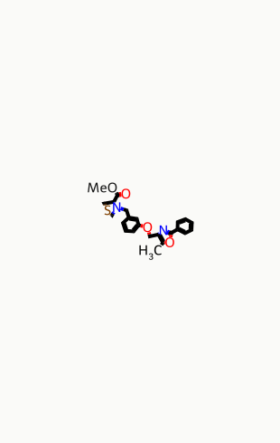 COC(=O)C1CSCN1Cc1cccc(OCc2nc(-c3ccccc3)oc2C)c1